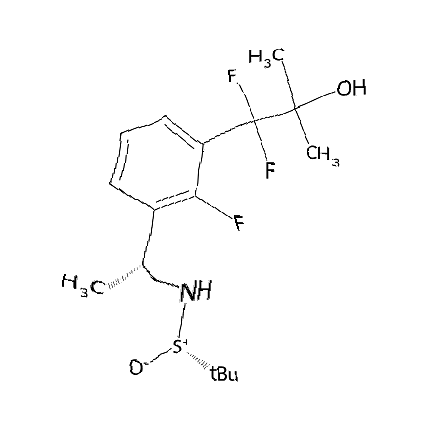 C[C@@H](N[S@@+]([O-])C(C)(C)C)c1cccc(C(F)(F)C(C)(C)O)c1F